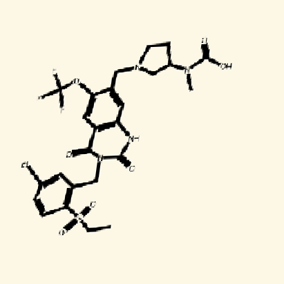 CCS(=O)(=O)c1ccc(Cl)cc1Cn1c(=O)[nH]c2cc(CN3CCC(N(C)C(=O)O)C3)c(OC(F)(F)F)cc2c1=O